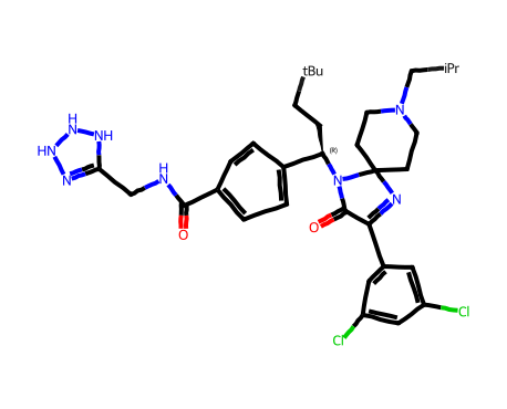 CC(C)CN1CCC2(CC1)N=C(c1cc(Cl)cc(Cl)c1)C(=O)N2[C@H](CCC(C)(C)C)c1ccc(C(=O)NCC2=NNNN2)cc1